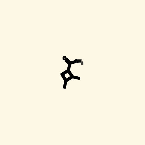 CC1CC(C(N)=O)C1C